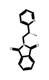 C[C@H](CN1C(=O)c2ccccc2C1=O)c1ccccn1